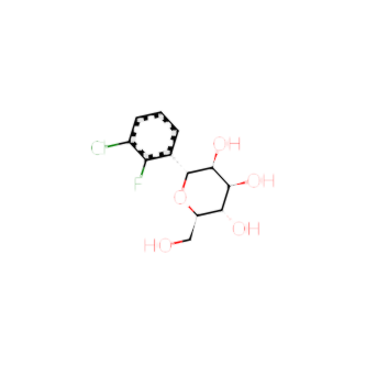 OC[C@H]1O[C@H](c2cccc(Cl)c2F)[C@@H](O)[C@@H](O)[C@@H]1O